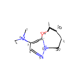 CN(C)c1cnn2c1OCCCC2